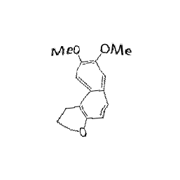 COc1cc2ccc3c(c2cc1OC)CCCO3